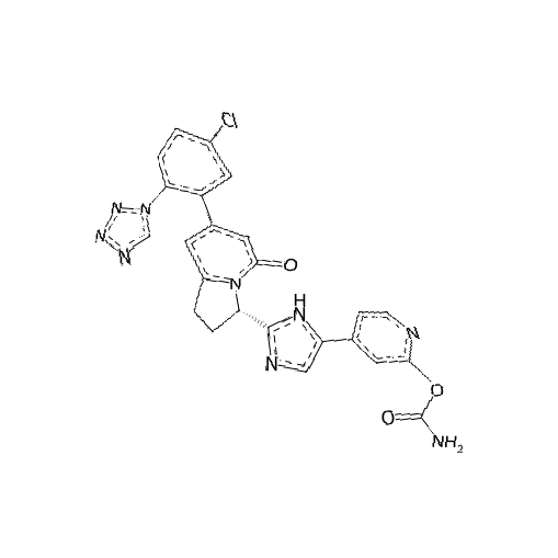 NC(=O)Oc1cc(-c2cnc([C@@H]3CCc4cc(-c5cc(Cl)ccc5-n5cnnn5)cc(=O)n43)[nH]2)ccn1